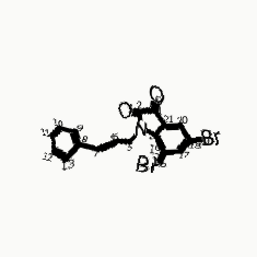 O=C1C(=O)N(CC=Cc2ccccc2)c2c(Br)cc(Br)cc21